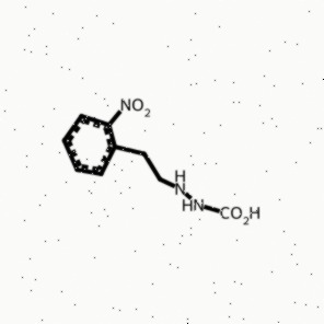 O=C(O)NNCCc1ccccc1[N+](=O)[O-]